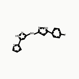 Fc1ccc(-c2cc(CNc3cc(-c4cccs4)[nH]n3)n[nH]2)cc1